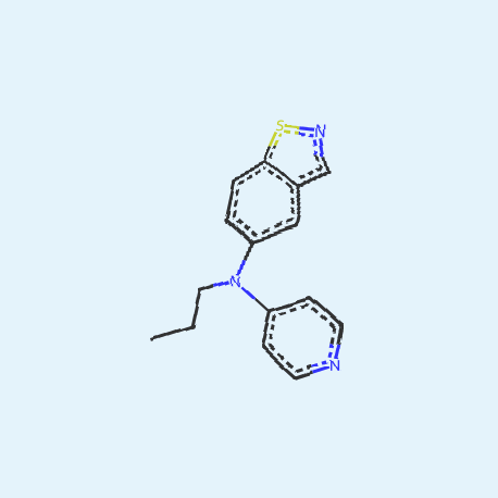 CCCN(c1ccncc1)c1ccc2sncc2c1